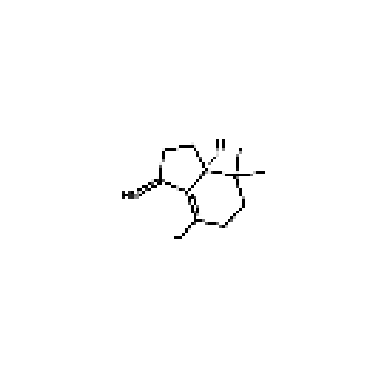 CC1(C)CCC(F)=C2C(=N)CC[C@H]21